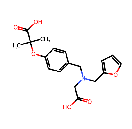 CC(C)(Oc1ccc(CN(CC(=O)O)Cc2ccco2)cc1)C(=O)O